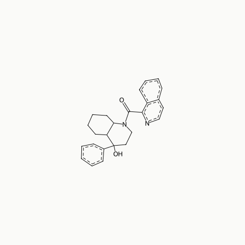 O=C(c1nccc2ccccc12)N1CCC(O)(c2ccccc2)C2CCCCC21